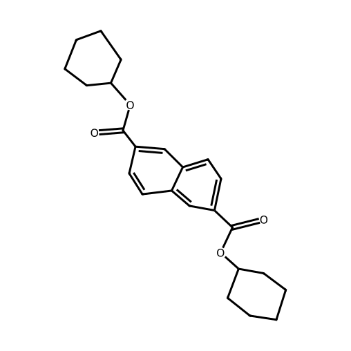 O=C(OC1CCCCC1)c1ccc2cc(C(=O)OC3CCCCC3)ccc2c1